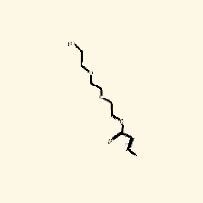 C/C=C/C(=O)OCCOCCOCCN=O